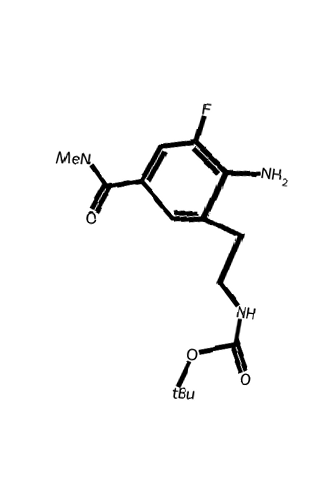 CNC(=O)c1cc(F)c(N)c(CCNC(=O)OC(C)(C)C)c1